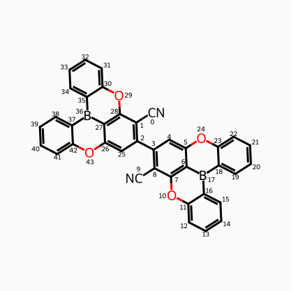 N#Cc1c(-c2cc3c4c(c2C#N)Oc2ccccc2B4c2ccccc2O3)cc2c3c1Oc1ccccc1B3c1ccccc1O2